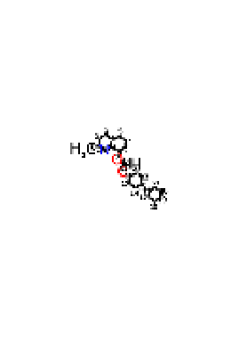 Cc1ccc2cccc([O][AlH][O]c3ccc(-c4ccccc4)cc3)c2n1